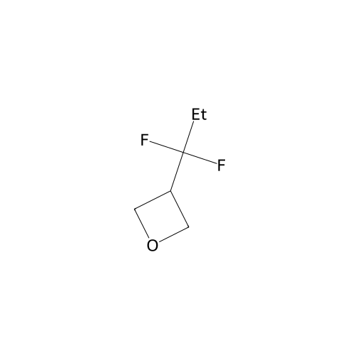 CCC(F)(F)C1COC1